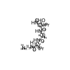 CC(C)n1cc(NC(=O)c2cc(NC(=O)c3cc(NC=O)cn3C(C)C)cn2C)cc1C(=O)NCCCN(C)C